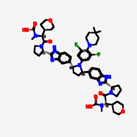 CN(C(=O)O)[C@H](C(=O)N1CCC[C@H]1c1nc2cc([C@H]3CC[C@H](c4ccc5[nH]c([C@@H]6CCCN6C(=O)[C@H](C6CCOCC6)N(C)C(=O)O)nc5c4)N3c3cc(F)c(N4CCC(C)(C)CC4)c(F)c3)ccc2[nH]1)C1CCOCC1